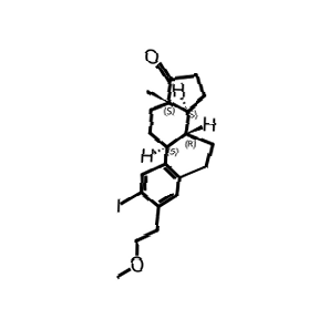 COCCc1cc2c(cc1I)[C@H]1CC[C@]3(C)C(=O)CC[C@H]3[C@@H]1CC2